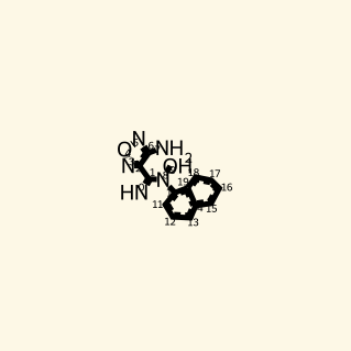 N=C(c1nonc1N)N(O)c1cccc2ccccc12